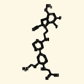 CCOc1cc(-c2cc(NCCn3c(C#N)cc4c(OC)cc(F)c(F)c43)ncn2)ccc1NCC(=O)O